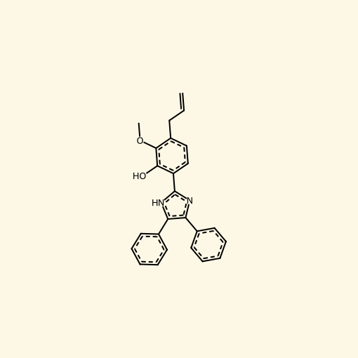 C=CCc1ccc(-c2nc(-c3ccccc3)c(-c3ccccc3)[nH]2)c(O)c1OC